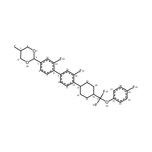 CC1COC(c2ccc(-c3ccc(C4CCC(C(F)(F)Oc5ccc(F)cc5)CC4)c(F)c3)c(F)c2)OC1